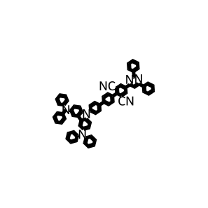 N#Cc1cc(-c2cc(-c3ccccc3)nc(-c3ccccc3)n2)cc(C#N)c1-c1ccc(-c2ccc(-n3c4ccc(N(c5ccccc5)c5ccccc5)cc4c4cc(N(c5ccccc5)c5ccccc5)ccc43)cc2)cc1